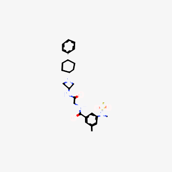 Cc1cc(C(=O)NCC(=O)NC2CN([C@H]3CC[C@@H](c4ccccc4)CC3)C2)cc(N(C)S(C)(=O)=O)c1